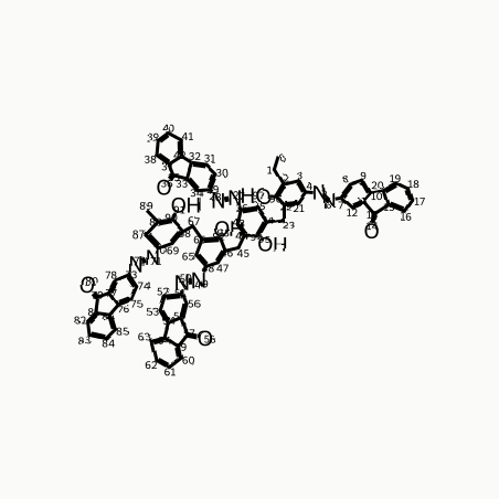 CCc1cc(N=Nc2ccc3c(c2)C(=O)c2ccccc2-3)cc(Cc2cc(N=Nc3ccc4c(c3)C(=O)c3ccccc3-4)cc(Cc3cc(N=Nc4ccc5c(c4)C(=O)c4ccccc4-5)cc(Cc4cc(N=Nc5ccc6c(c5)C(=O)c5ccccc5-6)cc(C)c4O)c3O)c2O)c1O